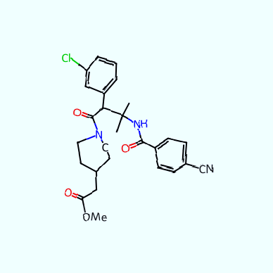 COC(=O)CC1CCN(C(=O)C(c2cccc(Cl)c2)C(C)(C)NC(=O)c2ccc(C#N)cc2)CC1